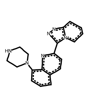 c1cc(N2CCNCC2)c2nc(-c3nnc4ccccn34)ccc2c1